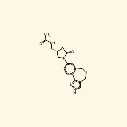 CC(=O)NC[C@H]1CN(c2ccc3c(c2)CSCc2c[nH]nc2-3)C(=O)O1